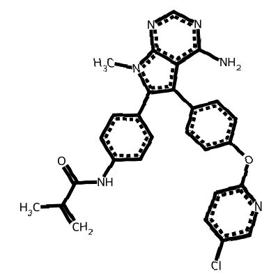 C=C(C)C(=O)Nc1ccc(-c2c(-c3ccc(Oc4ccc(Cl)cn4)cc3)c3c(N)ncnc3n2C)cc1